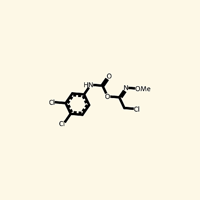 CON=C(CCl)OC(=O)Nc1ccc(Cl)c(Cl)c1